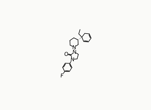 CCC1([C@H]2CCCN(N3CCN(c4ccc(F)cc4)C3=O)C2)C=CC=CC1